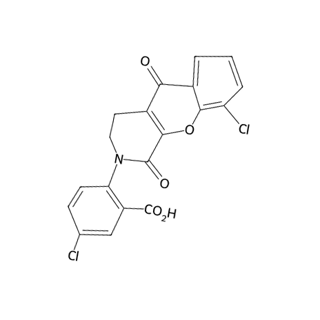 O=C(O)c1cc(Cl)ccc1N1CCc2c(oc3c(Cl)cccc3c2=O)C1=O